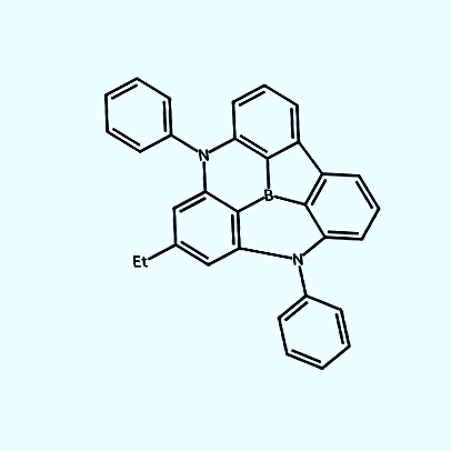 CCc1cc2c3c(c1)N(c1ccccc1)c1cccc4c1B3c1c-4cccc1N2c1ccccc1